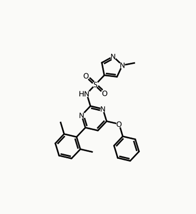 Cc1cccc(C)c1-c1cc(Oc2ccccc2)nc(NS(=O)(=O)c2cnn(C)c2)n1